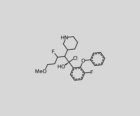 COCCC(F)C(C1CCCNC1)[C@](O)(Cl)c1cccc(F)c1Oc1ccccc1